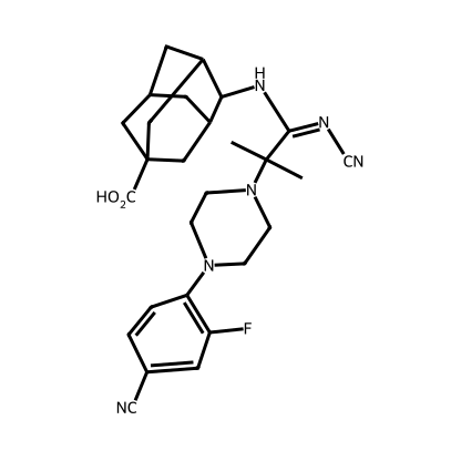 CC(C)(/C(=N\C#N)NC1C2CC3CC1CC(C(=O)O)(C3)C2)N1CCN(c2ccc(C#N)cc2F)CC1